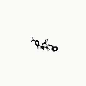 O=C1C[C@]2(C[C@@H]2c2ccc(C(F)F)cc2F)C(=O)N1Cc1ccccc1